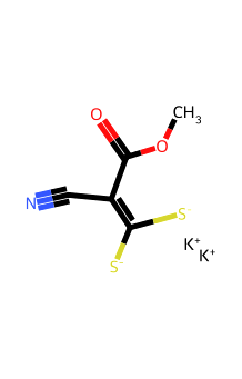 COC(=O)C(C#N)=C([S-])[S-].[K+].[K+]